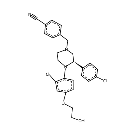 N#Cc1ccc(CN2CCN(c3ccc(OCCO)cc3Cl)[C@H](c3ccc(Cl)cc3)C2)cc1